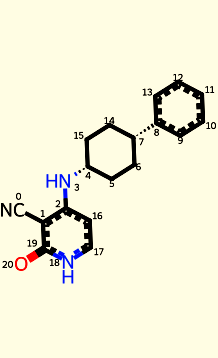 N#Cc1c(N[C@H]2CC[C@@H](c3ccccc3)CC2)cc[nH]c1=O